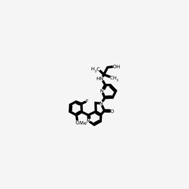 COc1cccc(F)c1-c1nccc2c1CN(c1cccc(NC(C)(C)CO)n1)C2=O